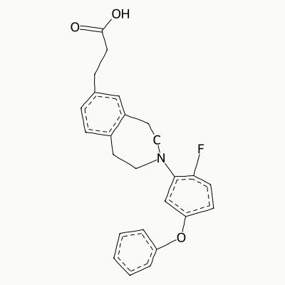 O=C(O)CCc1ccc2c(c1)CCN(c1cc(Oc3ccccc3)ccc1F)CC2